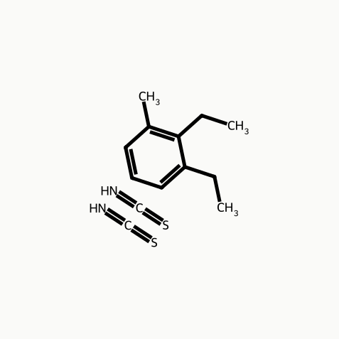 CCc1cccc(C)c1CC.N=C=S.N=C=S